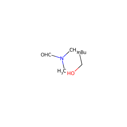 CCCCCO.CN(C)C=O